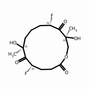 C[C@]1(O)CCC[C@H](F)C(=O)[C@@](C)(O)COC(=O)CC[C@H](F)C1=O